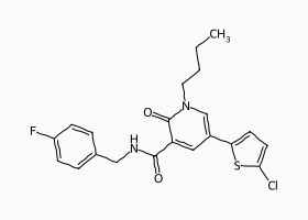 CCCCn1cc(-c2ccc(Cl)s2)cc(C(=O)NCc2ccc(F)cc2)c1=O